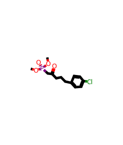 COP(=O)(CC(=O)CCCc1ccc(Cl)cc1)OC